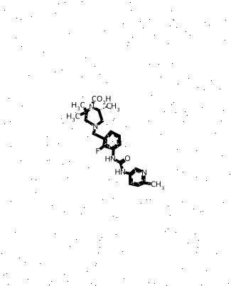 Cc1ccc(NC(=O)Nc2cccc(CN3C[C@@H](C)N(C(=O)O)C(C)(C)C3)c2F)cn1